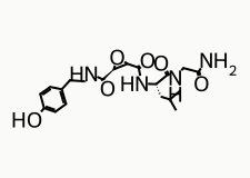 CC(C)C[C@H](NC(=O)C1O[C@@H]1C(=O)NCCc1ccc(O)cc1)C(=O)NCC(N)=O